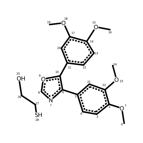 COc1ccc(-c2ncoc2-c2ccc(OC)c(OC)c2)cc1OC.OCCS